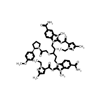 CCn1nc(C)cc1C(=O)N=c1n(C)c2cc(C(N)=O)ccc2n1CCC(CCn1c(=NC(=O)c2cc(C)nn2CC)n(C)c2cc(C(N)=O)ccc21)OCC(=O)N1CCC[C@@H]1c1ccc(OC)cc1